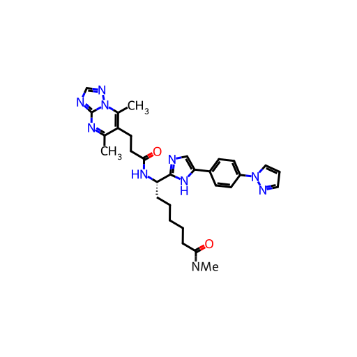 CNC(=O)CCCCC[C@H](NC(=O)CCc1c(C)nc2ncnn2c1C)c1ncc(-c2ccc(-n3cccn3)cc2)[nH]1